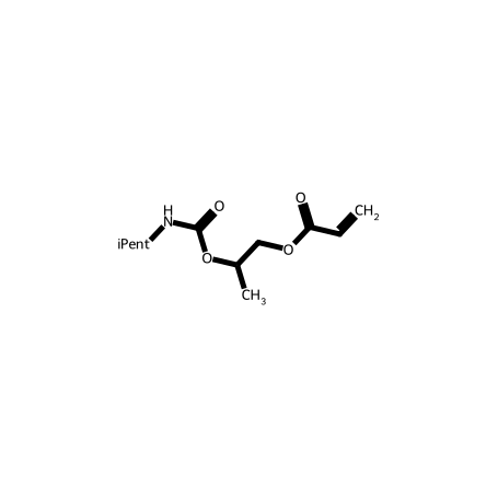 C=CC(=O)OCC(C)OC(=O)NC(C)CCC